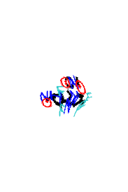 CNC(=O)c1cc(F)c(-c2nc3cc(C(F)F)ccn3c2C[C@H]2CN(C(C)=O)CCO2)c(F)c1